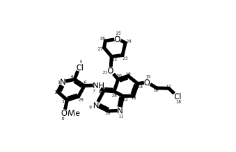 COc1cnc(Cl)c(Nc2ncnc3cc(OCCCl)cc(OC4CCOCC4)c23)c1